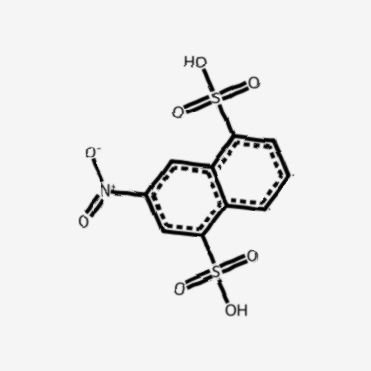 O=[N+]([O-])c1cc(S(=O)(=O)O)c2[c][c]cc(S(=O)(=O)O)c2c1